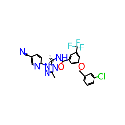 Cc1nc([C@H](C)NC(=O)c2cc(OCc3cccc(Cl)c3)cc(C(F)(F)F)c2)n(-c2ccc(C#N)cn2)n1